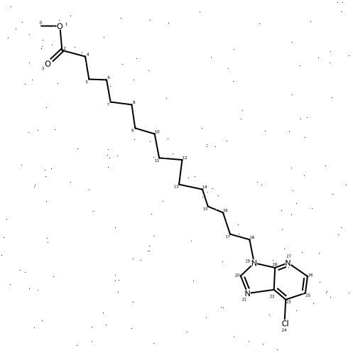 COC(=O)CCCCCCCCCCCCCCCn1cnc2c(Cl)ccnc21